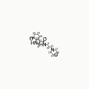 Cc1[nH]c2c(c1C(=O)NCCCN1CCOCC1)CCCC2=O